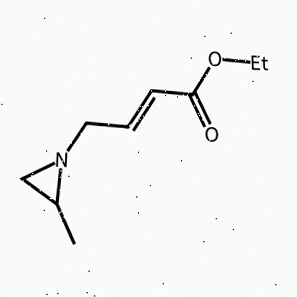 CCOC(=O)/C=C/CN1CC1C